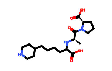 C[C@H](NC(CCCCC1CCNCC1)C(=O)O)C(=O)N1CCC[C@H]1C(=O)O